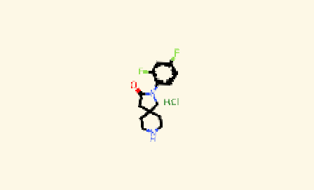 Cl.O=C1CC2(CCNCC2)CN1c1ccc(F)cc1F